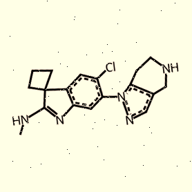 CNC1=Nc2cc(-n3ncc4c3CCNC4)c(Cl)cc2C12CCC2